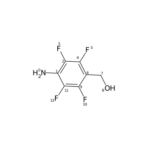 Nc1c(F)c(F)c(CO)c(F)c1F